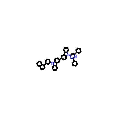 c1ccc(-c2cc(-n3c4ccccc4c4cc(-c5ccc6c(c5)c5ccccc5n6-c5cccc(-c6cccc7ccccc67)c5)ccc43)nc(-c3ccccc3)n2)cc1